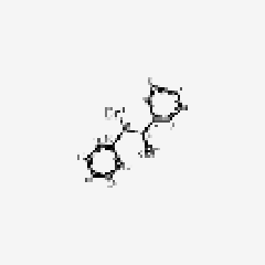 BrC(c1ccccc1)C(Br)c1ccccc1